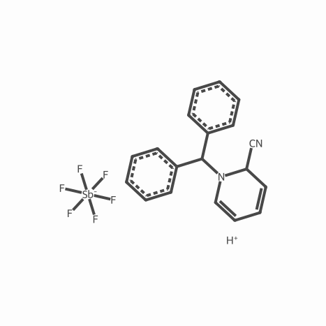 N#CC1C=CC=CN1C(c1ccccc1)c1ccccc1.[F][Sb-]([F])([F])([F])([F])[F].[H+]